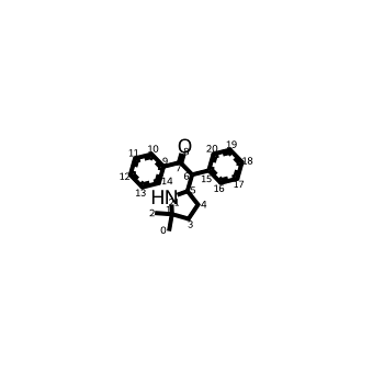 CC1(C)CCC(C(C(=O)c2ccccc2)c2ccccc2)N1